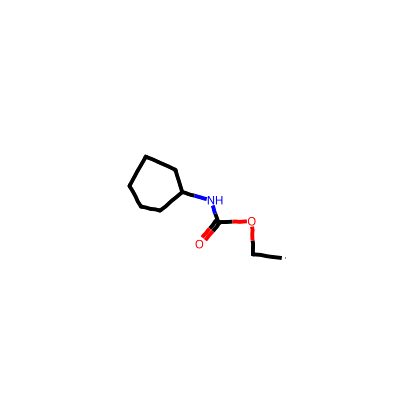 [CH2]COC(=O)NC1CCCCC1